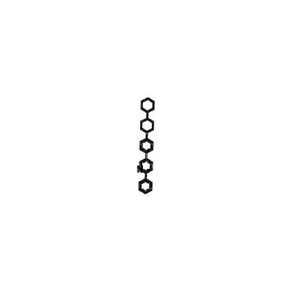 c1ccc(-c2ccc(-c3ccc(C4CCC(C5CCCCC5)CC4)cc3)cn2)cc1